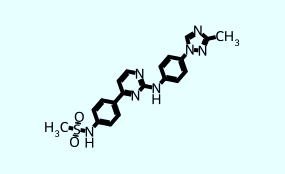 Cc1ncn(-c2ccc(Nc3nccc(-c4ccc(NS(C)(=O)=O)cc4)n3)cc2)n1